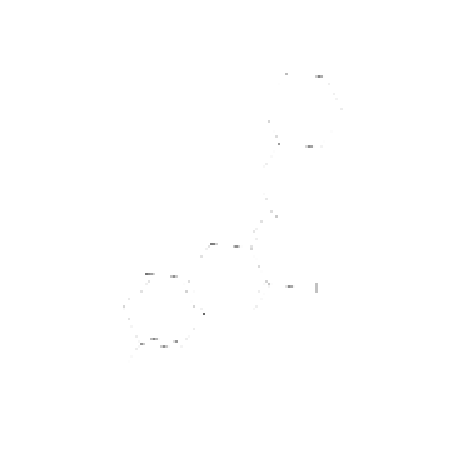 O=C(O)/C(Cc1ccc(F)cc1)=N/OC1CCCCO1